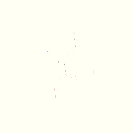 CCOC(=O)[C@H](N)CC(C)C.Cl